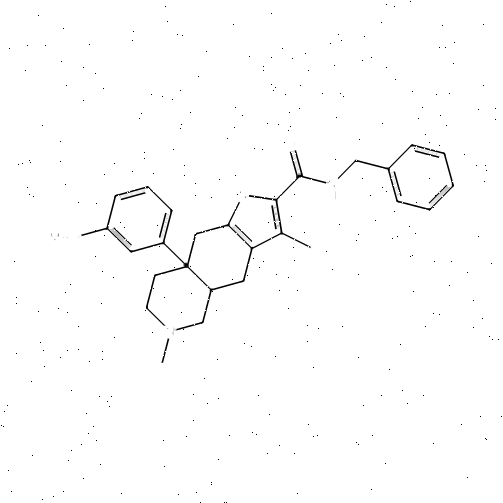 COc1cccc(C23CCN(C)CC2Cc2c([nH]c(C(=O)NCc4ccccc4)c2C)C3)c1